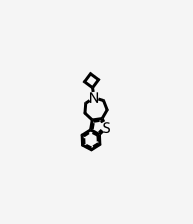 c1ccc2c3c(sc2c1)CCN(C1CCC1)CC3